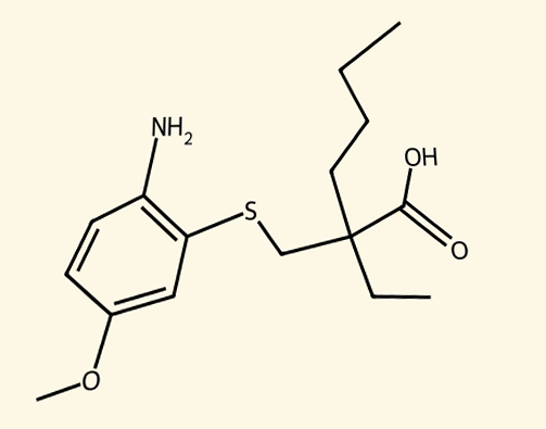 CCCCC(CC)(CSc1cc(OC)ccc1N)C(=O)O